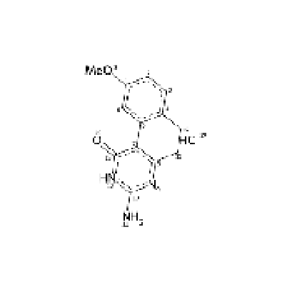 COc1ccc2c(c1)-c1c(nc(N)[nH]c1=O)CC2.Cl